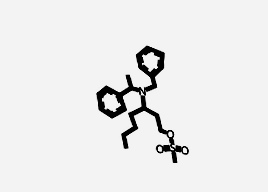 CCCCC(CCOS(C)(=O)=O)N(Cc1ccccc1)C(C)c1ccccc1